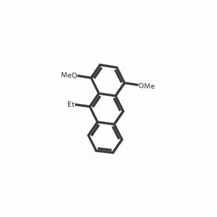 CCc1c2ccccc2cc2c(OC)ccc(OC)c12